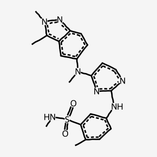 CNS(=O)(=O)c1cc(Nc2nccc(N(C)c3ccc4nn(C)c(C)c4c3)n2)ccc1C